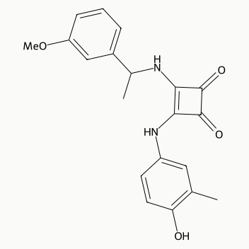 COc1cccc(C(C)Nc2c(Nc3ccc(O)c(C)c3)c(=O)c2=O)c1